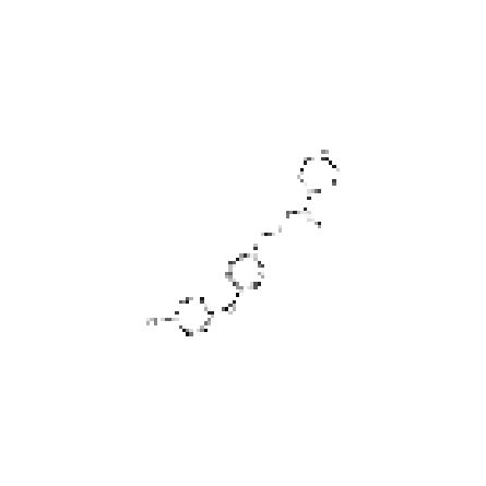 O=C(OCSc1ccc(Oc2ccc(Cl)cc2)cc1)C1CCOCC1